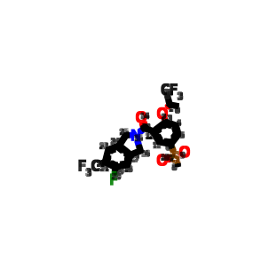 CC(Oc1ccc(S(C)(=O)=O)cc1C(=O)N1Cc2cc(F)c(C(F)(F)F)cc2C1)C(F)(F)F